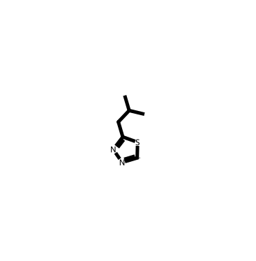 CC(C)Cc1nn[c]s1